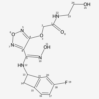 O=C(COc1nonc1C(=NO)NC1Cc2ccc(F)cc21)NCCO